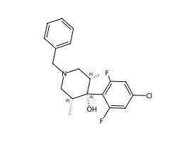 C[C@@H]1CN(Cc2ccccc2)C[C@H](C)[C@@]1(O)c1c(F)cc(Cl)cc1F